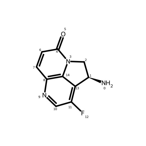 N[C@@H]1Cn2c(=O)ccc3ncc(F)c1c32